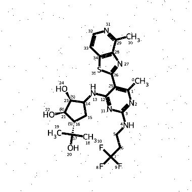 Cc1nc(NCCC(F)(F)F)nc(NC2C[C@H](C(C)(C)O)[C@@H](O)[C@H]2O)c1-c1nc2c(C)nccc2s1